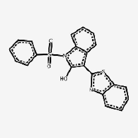 O=S(=O)(c1ccccc1)n1c(O)c(-c2nc3ccccc3s2)c2ccccc21